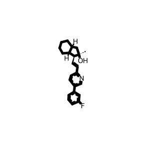 C[C@@]1(O)C[C@H]2CCCC[C@H]2[C@@H]1C=Cc1ccc(-c2cccc(F)c2)cn1